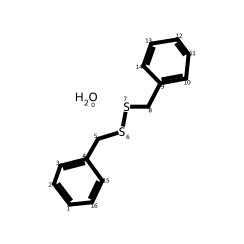 O.c1ccc(CSSCc2ccccc2)cc1